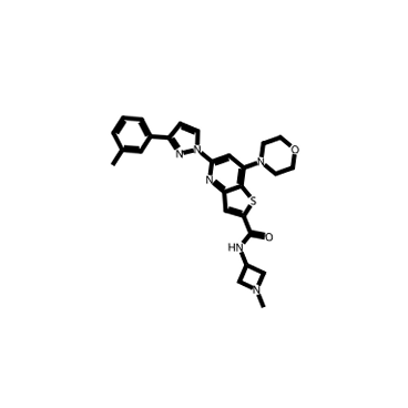 Cc1cccc(-c2ccn(-c3cc(N4CCOCC4)c4sc(C(=O)NC5CN(C)C5)cc4n3)n2)c1